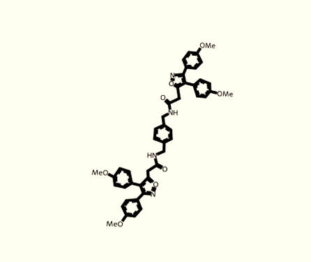 COc1ccc(-c2noc(CC(=O)NCc3ccc(CNC(=O)Cc4onc(-c5ccc(OC)cc5)c4-c4ccc(OC)cc4)cc3)c2-c2ccc(OC)cc2)cc1